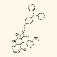 COC(=O)C1=C(Cl)NC(C)=C(C(=O)OCCN2CCN(C(c3ccccc3)c3ccccc3)CC2)C1c1cccc([N+](=O)[O-])c1